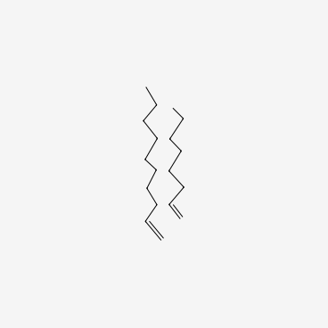 C=CCCCCCC.C=CCCCCCCCC